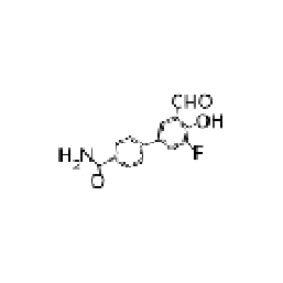 NC(=O)c1ccc(-c2cc(F)c(O)c(C=O)c2)cc1